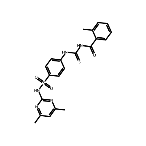 Cc1cc(C)nc(NS(=O)(=O)c2ccc(NC(=S)NC(=O)c3ccccc3C)cc2)n1